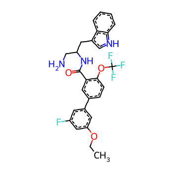 CCOc1cc(F)cc(-c2ccc(OC(F)(F)F)c(C(=O)NC(CN)Cc3c[nH]c4ccccc34)c2)c1